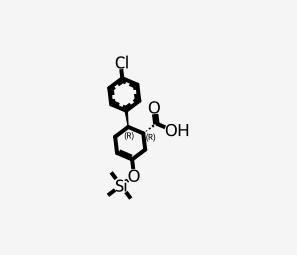 C[Si](C)(C)OC1=CC[C@@H](c2ccc(Cl)cc2)[C@H](C(=O)O)C1